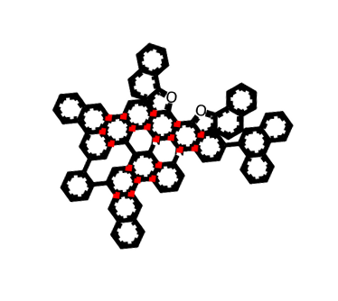 c1ccc(-c2cc(-c3ccc4ccccc4c3)ccc2N(c2cccc(-c3cc4ccccc4c4cc(-c5ccccc5-c5ccc(-c6cccc(N(c7ccc(-c8cc9ccccc9c9ccccc89)cc7)c7ccc8c(c7)oc7c9ccccc9ccc87)c6)cc5)ccc34)c2)c2ccc3c(c2)oc2c4ccccc4ccc32)cc1